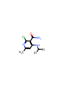 CCC(CC)Nc1cc(C)nc(Cl)c1C(N)=O